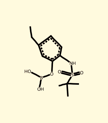 CCc1ccc(NS(=O)(=O)C(C)(C)C)c(OB(O)O)c1